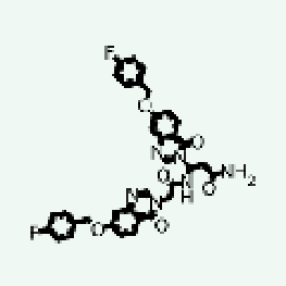 NC(=O)CC(NC(=O)Cn1cnc2cc(OCc3ccc(F)cc3)ccc2c1=O)n1cnc2cc(OCc3ccc(F)cc3)ccc2c1=O